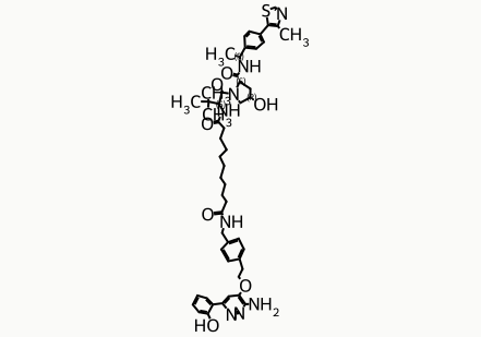 Cc1ncsc1-c1ccc([C@H](C)NC(=O)[C@@H]2C[C@@H](O)CN2C(=O)[C@@H](NC(=O)CCCCCCCCCC(=O)NCc2ccc(CCOc3cc(-c4ccccc4O)nnc3N)cc2)C(C)(C)C)cc1